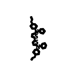 C=CCc1ccc(N(c2ccccc2)c2ccc(-c3ccc(N(c4ccccc4)c4ccc(CC=C)cc4)s3)s2)cc1